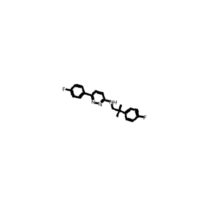 CC(C)(CNc1ccc(-c2ccc(F)cc2)nn1)c1ccc(F)cc1